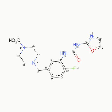 O=C(Nc1ncco1)Nc1cc(CN2CCN(C(=O)O)CC2)ccc1F